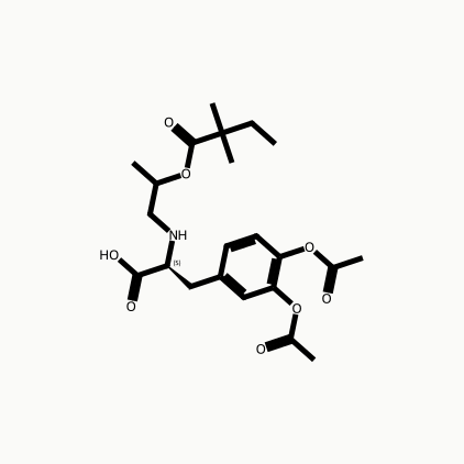 CCC(C)(C)C(=O)OC(C)CN[C@@H](Cc1ccc(OC(C)=O)c(OC(C)=O)c1)C(=O)O